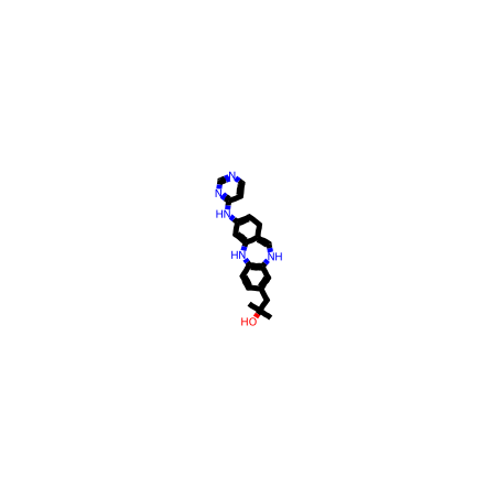 CC(C)(O)Cc1ccc2c(c1)NC=C1CC=C(Nc3ccncn3)C=C1N2